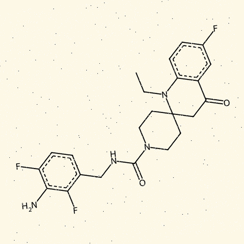 CCN1c2ccc(F)cc2C(=O)CC12CCN(C(=O)NCc1ccc(F)c(N)c1F)CC2